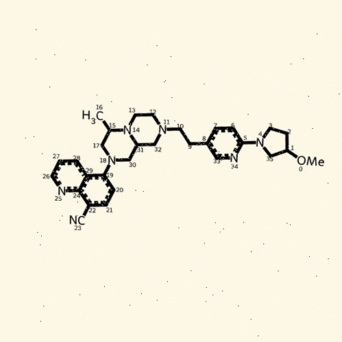 COC1CCN(c2ccc(CCN3CCN4C(C)CN(c5ccc(C#N)c6ncccc56)CC4C3)cn2)C1